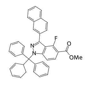 COC(=O)c1ccc2c(c(-c3ccc4ccccc4c3)nn2C(c2ccccc2)(c2ccccc2)C2C=CC=CC2)c1F